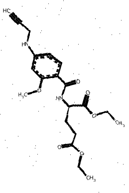 C#CCNc1ccc(C(=O)N[C@H](CCC(=O)OCC)C(=O)OCC)c(OC)c1